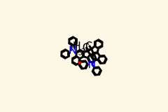 CC1(C2(C)c3ccccc3-c3c2cc(N(c2ccccc2)c2ccccc2)c2ccccc32)c2ccccc2-c2c1cc(N(c1ccccc1)c1ccccc1)c1ccccc21